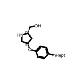 CCCCCCCc1ccc(O[C@H]2CN[C@@H](CO)C2)cc1